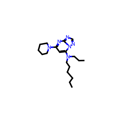 CCCCCCN(CCC)c1cc(N2CCCCC2)nc2ncnn12